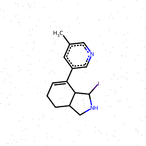 Cc1cncc(C2=CCCC3CNC(I)C23)c1